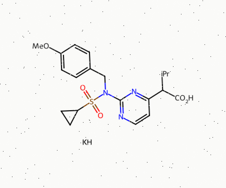 COc1ccc(CN(c2nccc(C(C(=O)O)C(C)C)n2)S(=O)(=O)C2CC2)cc1.[KH]